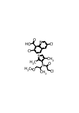 COCC(C)N(C(=O)CCl)c1c(C)csc1C.O=C(O)c1c(Cl)ccc2cc(Cl)cnc12